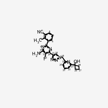 Cc1c(C#N)cccc1-c1nc(N)c(F)c(-c2cn(Cc3cccc(C4(O)CCC4)n3)nn2)n1